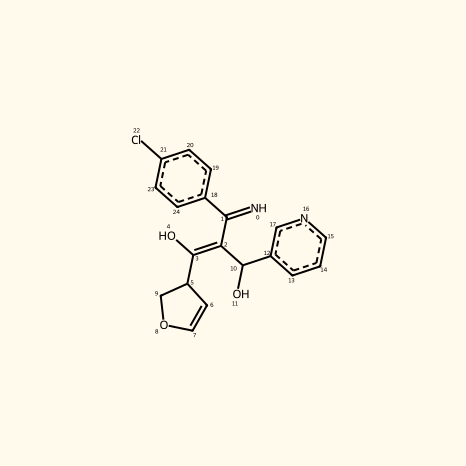 N=C(/C(=C(\O)C1C=COC1)C(O)c1cccnc1)c1ccc(Cl)cc1